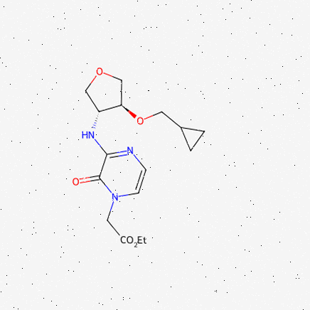 CCOC(=O)Cn1ccnc(N[C@@H]2COC[C@H]2OCC2CC2)c1=O